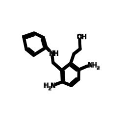 Nc1ccc(N)c(CNc2ccccc2)c1CCO